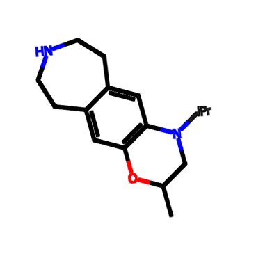 CC1CN(C(C)C)c2cc3c(cc2O1)CCNCC3